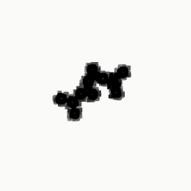 c1ccc(-c2cc(-c3ccccc3)cc(-c3ccc4c(c3)c3ccccc3n4-c3ccc4c5ccccc5n(-c5ccc(-c6nc(-c7ccccc7)nc(-c7ccccc7)n6)cc5)c4c3)c2)cc1